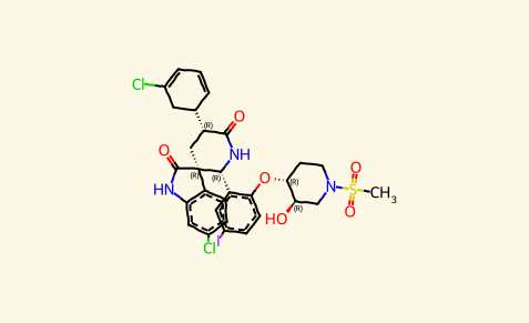 CS(=O)(=O)N1CC[C@@H](Oc2ccc(I)cc2[C@H]2NC(=O)[C@@H](C3C=CC=C(Cl)C3)C[C@]23C(=O)Nc2cc(Cl)ccc23)[C@H](O)C1